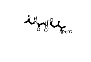 CCCCCC(C)C(C)CC(=O)[NH+]([O-])CC(=O)NCC(C)=S